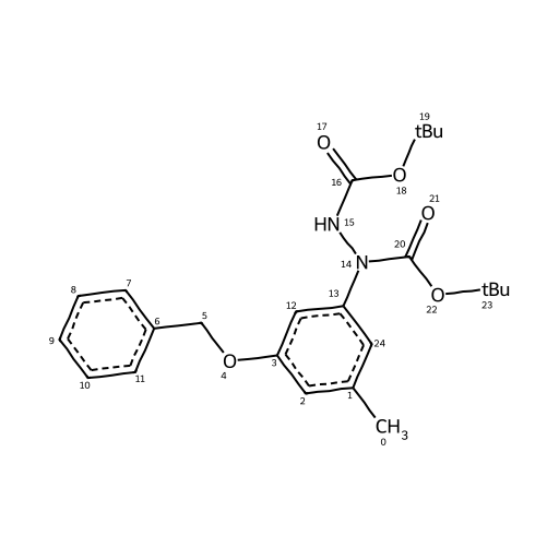 Cc1cc(OCc2ccccc2)cc(N(NC(=O)OC(C)(C)C)C(=O)OC(C)(C)C)c1